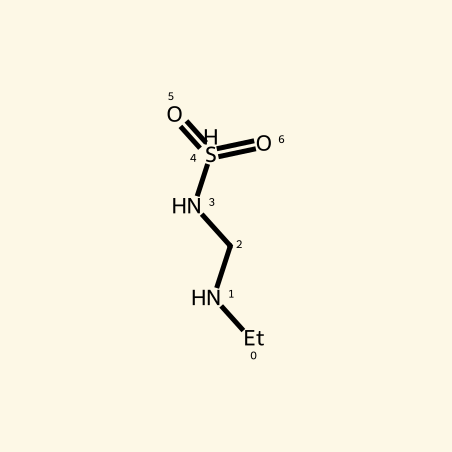 CCNCN[SH](=O)=O